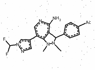 CC(=O)c1ccc(C2c3c(N)ncc(-c4cnn(C(F)F)c4)c3N(C)N2C)cc1